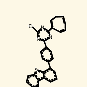 Clc1nc(C2=CCC=CC=C2)nc(-c2ccc(-c3cccc4c3sc3ccccc34)cc2)n1